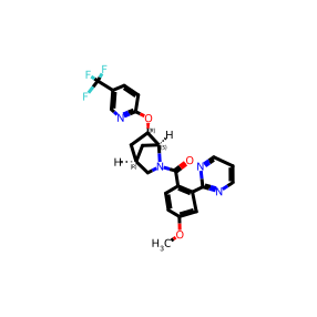 COc1ccc(C(=O)N2C[C@H]3C[C@@H](Oc4ccc(C(F)(F)F)cn4)[C@@H]2C3)c(-c2ncccn2)c1